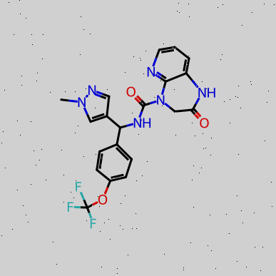 Cn1cc(C(NC(=O)N2CC(=O)Nc3cccnc32)c2ccc(OC(F)(F)F)cc2)cn1